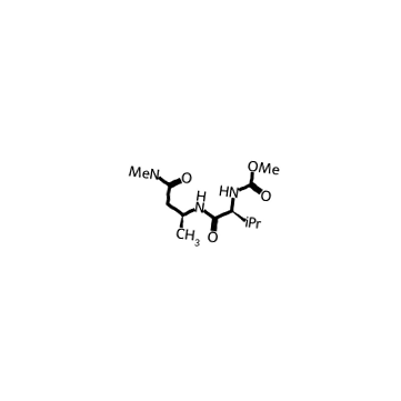 CNC(=O)C[C@H](C)NC(=O)[C@@H](NC(=O)OC)C(C)C